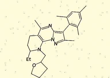 CCC1CCc2c(C)nc3c(-c4c(C)cc(C)cc4C)c(C)nn3c2N1CC1CCCO1